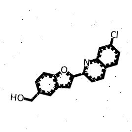 OCc1ccc2oc(-c3ccc4ccc(Cl)cc4n3)cc2c1